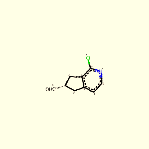 O=C[C@H]1Cc2ccnc(Cl)c2C1